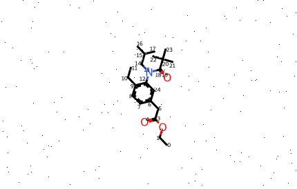 CCOC(=O)Cc1ccc(CC)c(N(CC(C)C)C(=O)C(C)(C)C)c1